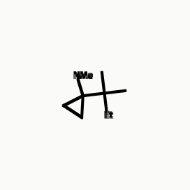 CCC(C)(C)C1(NC)CC1